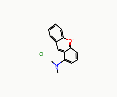 CN(C)c1cccc2[o+]c3ccccc3cc12.[Cl-]